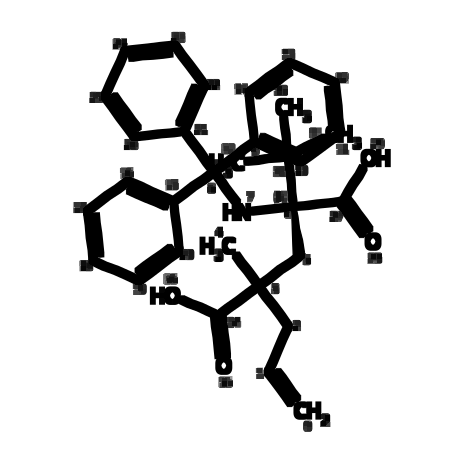 C=CCC(C)(C[C@](NC(c1ccccc1)(c1ccccc1)c1ccccc1)(C(=O)O)C(C)(C)C)C(=O)O